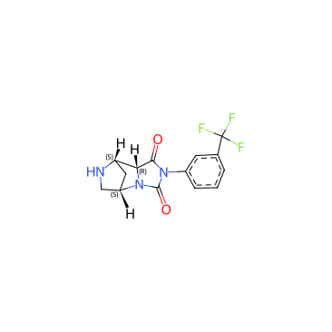 O=C1[C@H]2[C@@H]3C[C@@H](CN3)N2C(=O)N1c1cccc(C(F)(F)F)c1